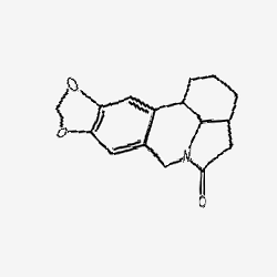 O=C1CC2CCCC3c4cc5c(cc4CN1C23)OCO5